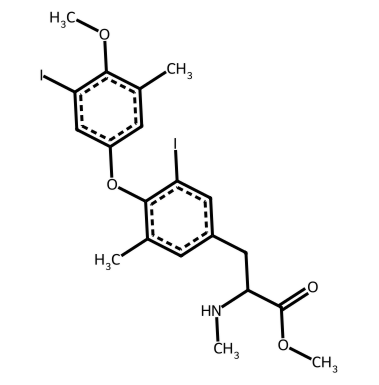 CNC(Cc1cc(C)c(Oc2cc(C)c(OC)c(I)c2)c(I)c1)C(=O)OC